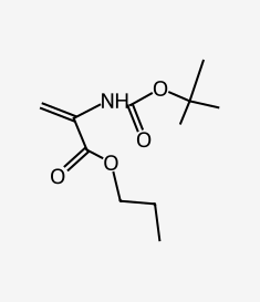 C=C(NC(=O)OC(C)(C)C)C(=O)OCCC